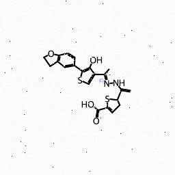 C=C(N/N=C(\C)c1csc(-c2ccc3c(c2)CCO3)c1O)C1CC=C(C(=O)O)S1